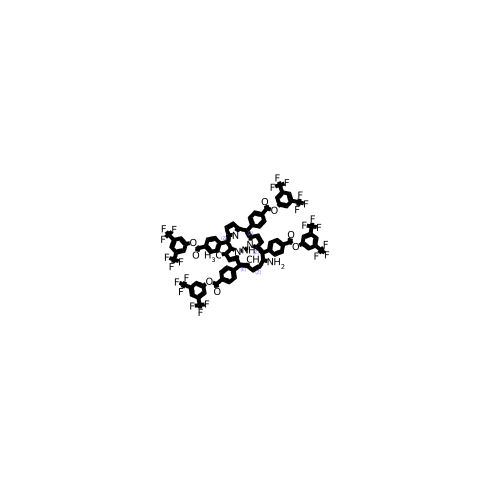 CC1=C(/c2ccc(C(=O)Oc3cc(C(F)(F)F)cc(C(F)(F)F)c3)cc2)C2=CC(C)C3/C(c4ccc(C(=O)Oc5cc(C(F)(F)F)cc(C(F)(F)F)c5)cc4)=C4/C=CC(=N4)/C(c4ccc(C(=O)Oc5cc(C(F)(F)F)cc(C(F)(F)F)c5)cc4)=c4/cc/c(n4NN23)=C(\c2ccc(C(=O)Oc3cc(C(F)(F)F)cc(C(F)(F)F)c3)cc2)C(N)/C=C\1